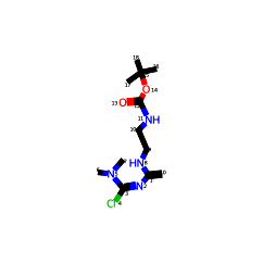 C=C(/N=C(/Cl)N(C)C)NCCNC(=O)OC(C)(C)C